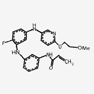 C=CC(=O)Nc1cccc(Nc2cc(Nc3ccc(OCCOC)nc3)ccc2F)c1